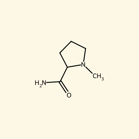 CN1CCCC1C(N)=O